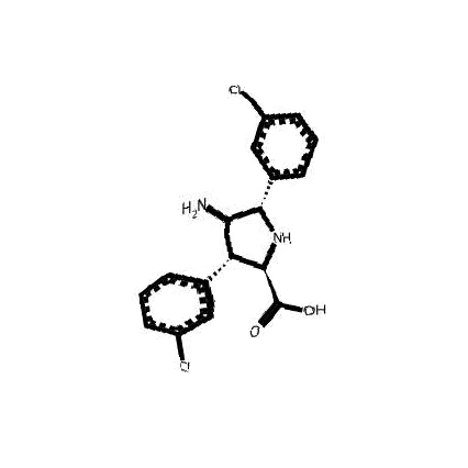 NC1[C@@H](c2cccc(Cl)c2)[C@H](C(=O)O)N[C@H]1c1cccc(Cl)c1